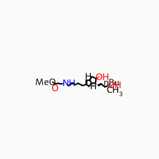 CCCC[C@](C)(O)C/C=C/[C@@H]1[C@H]2CC(CCCCCNCCC(=O)OC)=C[C@H]2C[C@H]1O